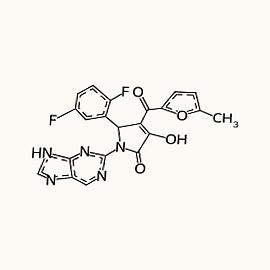 Cc1ccc(C(=O)C2=C(O)C(=O)N(c3ncc4nc[nH]c4n3)C2c2cc(F)ccc2F)o1